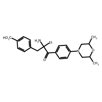 CCC(N)(Cc1ccc(C(=O)O)cc1)C(=O)c1ccc(N2CC(C)OC(C)C2)cc1